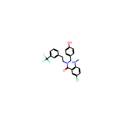 CNc1ccc(Cl)cc1C(=O)N(CCc1cccc(C(F)(F)F)c1)Cc1ccc(O)cc1